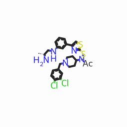 CC(=O)N(Sc1nc(-c2cccc(NC[C@@H](C)N)c2)cs1)C1CCN(Cc2ccc(Cl)c(Cl)c2)CC1